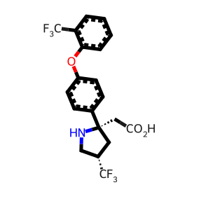 O=C(O)C[C@]1(c2ccc(Oc3ccccc3C(F)(F)F)cc2)C[C@H](C(F)(F)F)CN1